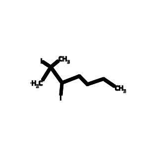 [CH2]C(C)(I)C(I)CCCC